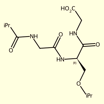 CC(C)OC[C@@H](NC(=O)CNC(=O)C(C)C)C(=O)NCC(=O)O